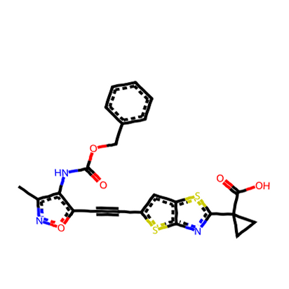 Cc1noc(C#Cc2cc3sc(C4(C(=O)O)CC4)nc3s2)c1NC(=O)OCc1ccccc1